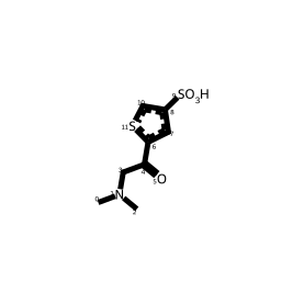 CN(C)CC(=O)c1cc(S(=O)(=O)O)cs1